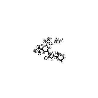 O=c1cc(-c2ccccn2)[nH]n1-c1cc(S(=O)(=O)[O-])cc(S(=O)(=O)[O-])c1.[Na+].[Na+]